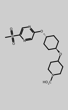 CS(=O)(=O)c1cnc(O[C@H]2CC[C@H](OC3CCN(C(=O)O)CC3)CC2)cn1